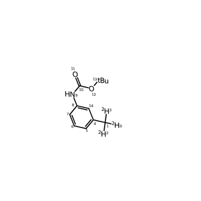 [2H]C([2H])([2H])c1cccc(NC(=O)OC(C)(C)C)c1